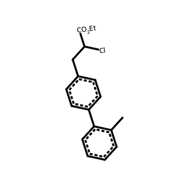 CCOC(=O)C(Cl)Cc1ccc(-c2ccccc2C)cc1